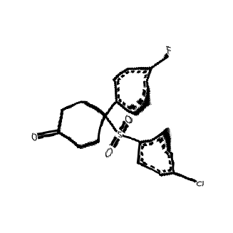 O=C1CCC(c2ccc(F)cc2)(S(=O)(=O)c2ccc(Cl)cc2)CC1